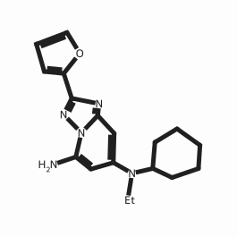 CCN(c1cc(N)n2nc(-c3ccco3)nc2c1)C1CCCCC1